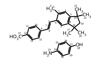 Cc1cc2c(cc1/C=C/c1ccc(C(=O)O)cc1)C(C)(C)CC2(C)C.Nc1ccc(O)cc1